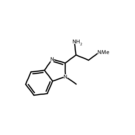 CNCC(N)c1nc2ccccc2n1C